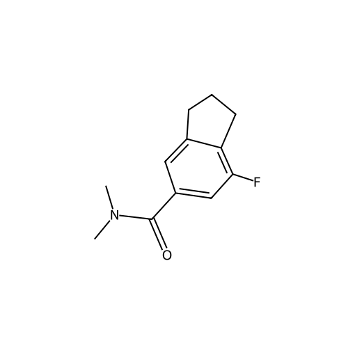 CN(C)C(=O)c1cc(F)c2c(c1)CCC2